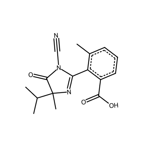 Cc1cccc(C(=O)O)c1C1=NC(C)(C(C)C)C(=O)N1C#N